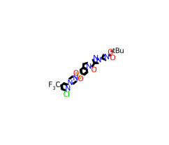 CC(C)(C)OC(=O)N1CC(n2cc(C(=O)N3CCc4cc(S(=O)(=O)N5CCN(c6cc(C(F)(F)F)cc(Cl)n6)CC5)ccc43)cn2)C1